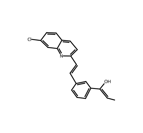 CC=C(O)c1cccc(C=Cc2ccc3ccc(Cl)cc3n2)c1